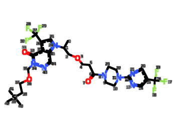 CC(COCCC(=O)N1CCN(c2ncc(C(F)(F)F)cn2)CC1)n1cc(C(F)(F)F)c2c(=O)n(COCC[Si](C)(C)C)ncc21